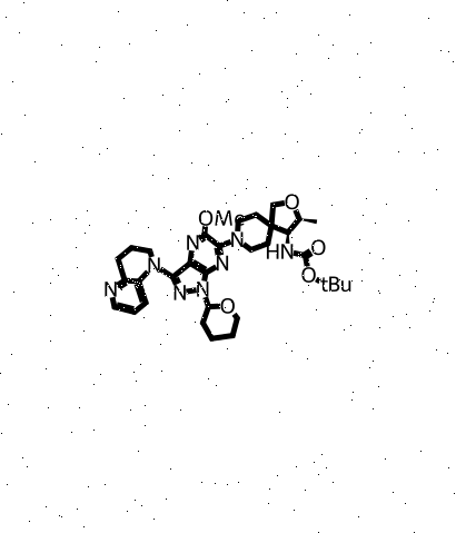 COc1nc2c(N3CCCc4ncccc43)nn(C3CCCCO3)c2nc1N1CCC2(CC1)CO[C@@H](C)[C@H]2NC(=O)OC(C)(C)C